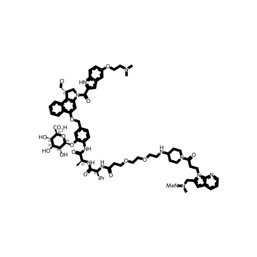 CNN(C)Cc1cc2cccnc2n1CCC(=O)N1CCC(NCCOCCOCCC(=O)N[C@H](C(=O)N[C@@H](C)C(=O)Nc2ccc(COc3cc4c(c5ccccc35)[C@H](CCl)CN4C(=O)c3cc4cc(OCCN(C)C)ccc4[nH]3)cc2O[C@@H]2O[C@H](C(=O)O)[C@@H](O)[C@H](O)[C@H]2O)C(C)C)CC1